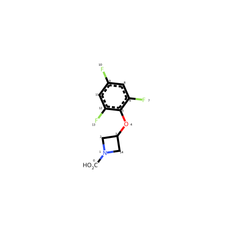 O=C(O)N1CC(Oc2c(F)cc(F)cc2F)C1